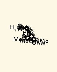 COc1cc2c(c(OC)c1OC)-c1ccc(SC)c(=O)cc1[C@@H](NC(=O)c1cccc(COS(C)(=O)=O)c1)CC2